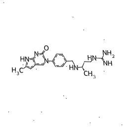 Cc1cc2cn(-c3ccc(CN[C@H](C)CCNC(=N)N)cc3)c(=O)nc2[nH]1